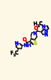 Cn1ccn2ncc(C(=O)N3CCc4c(C(=O)Nc5cncc(C(F)(F)F)c5)csc4C3)c12